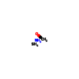 C=O.N.[SiH4]